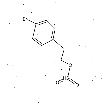 O=[SH](=O)OCCc1ccc(Br)cc1